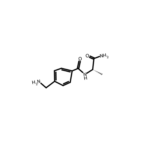 C[C@H](NC(=O)c1ccc(CN)cc1)C(N)=O